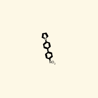 O=[N+]([O-])c1ccc(-c2ccc(-n3cccc3)cc2)cc1